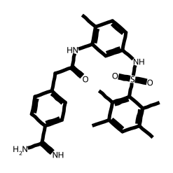 Cc1ccc(NS(=O)(=O)c2c(C)c(C)cc(C)c2C)cc1NC(=O)Cc1ccc(C(=N)N)cc1